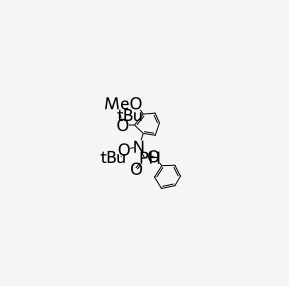 COc1cccc(N(OC(C)(C)C)[PH](=O)Oc2ccccc2)c1OC(C)(C)C